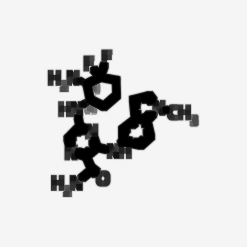 Cn1ccc2cc(Nc3nc(N[C@@H]4CCCC(F)(F)[C@@H]4N)cnc3C(N)=O)ccc21